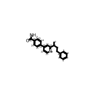 CC(CCc1ccccc1)c1cc(-c2ccc(C(N)=O)cc2)ccn1